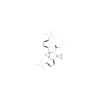 CCC[CH2][Sn]([CH2]CCC)([CH2]CCC)[c]1ccc(C2(N(C(=O)OC(C)(C)C)C3(c4cc[c]([Sn]([CH2]CCC)([CH2]CCC)[CH2]CCC)s4)CC3)CC2)s1